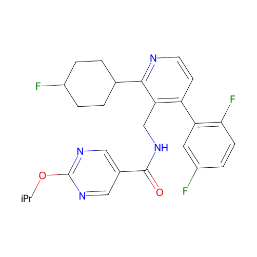 CC(C)Oc1ncc(C(=O)NCc2c(-c3cc(F)ccc3F)ccnc2C2CCC(F)CC2)cn1